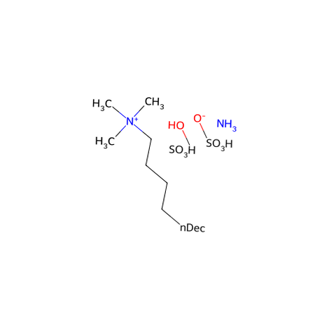 CCCCCCCCCCCCCC[N+](C)(C)C.N.O=S(=O)(O)O.O=S(=O)([O-])O